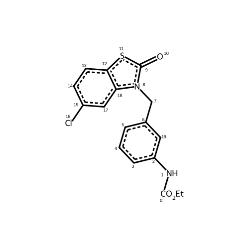 CCOC(=O)Nc1cccc(Cn2c(=O)sc3ccc(Cl)cc32)c1